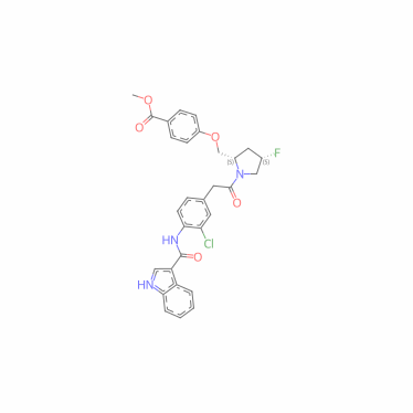 COC(=O)c1ccc(OC[C@@H]2C[C@H](F)CN2C(=O)Cc2ccc(NC(=O)c3c[nH]c4ccccc34)c(Cl)c2)cc1